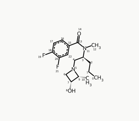 CCC[C@@H](CN1C[C@@H](O)[C@H]1C)N(C)C(=O)c1ccc(F)c(F)c1